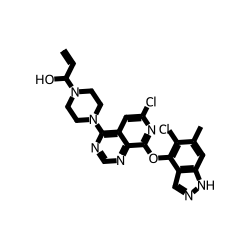 C=CC(O)N1CCN(c2ncnc3c(Oc4c(Cl)c(C)cc5[nH]ncc45)nc(Cl)cc23)CC1